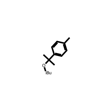 CCC(C)OC(C)(C)c1ccc(C)cc1